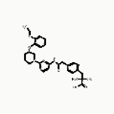 CCOc1ccccc1O[C@@H]1CCCN(c2nccc(NC(=O)Cc3ccc(CC(C)(C)C(=O)O)cc3)n2)C1